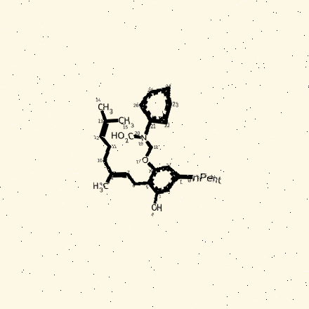 CCCCCc1cc(O)c(C/C=C(\C)CCC=C(C)C)c(OCN(C(=O)O)c2ccccc2)c1